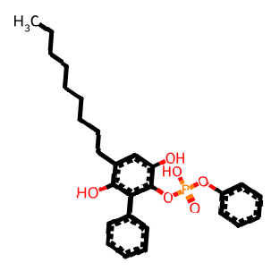 CCCCCCCCCc1cc(O)c(OP(=O)(O)Oc2ccccc2)c(-c2ccccc2)c1O